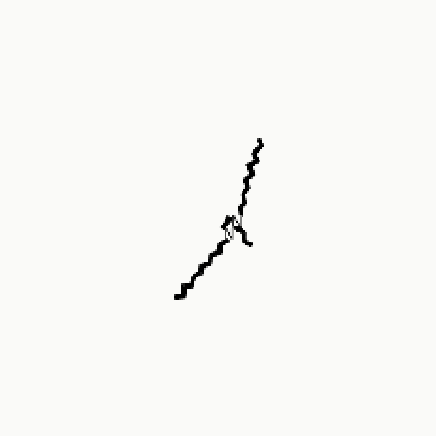 CCCCCCCCCCCCn1cc[n+](CCCCCCCCCCCC)c1CCC